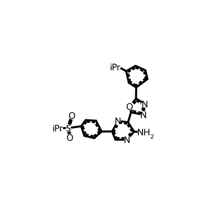 CC(C)c1cccc(-c2nnc(-c3nc(-c4ccc(S(=O)(=O)C(C)C)cc4)cnc3N)o2)c1